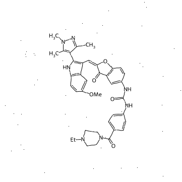 CCN1CCN(C(=O)c2ccc(NC(=O)Nc3ccc4c(c3)C(=O)C(=Cc3c(-c5c(C)nn(C)c5C)[nH]c5ccc(OC)cc35)O4)cc2)CC1